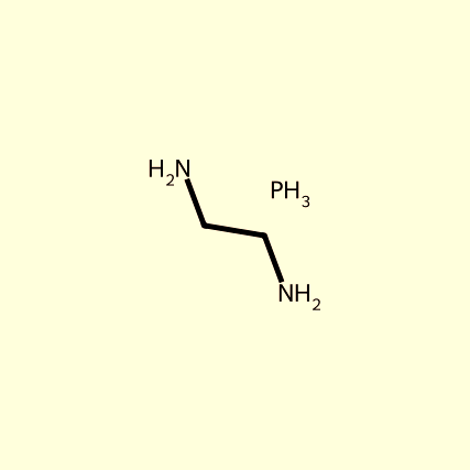 NCCN.P